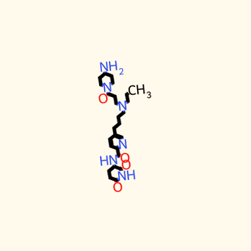 CCCN(CCCCc1ccc(C(=O)NC2CCC(=O)NC2=O)nc1)CCC(=O)N1CCC(N)CC1